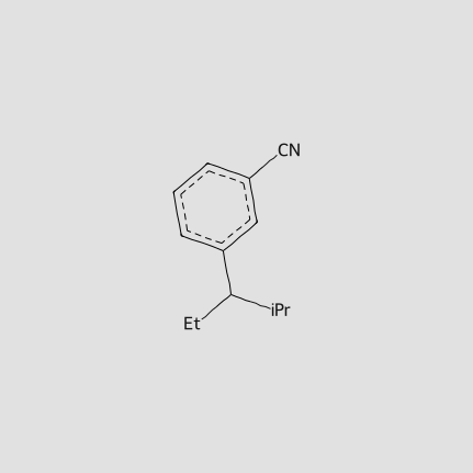 [CH2]CC(c1cccc(C#N)c1)C(C)C